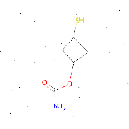 NC(=O)OC1CC(S)C1